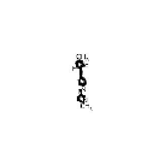 Cc1cc(F)c(C#Cc2ccc(N=Nc3ccc(C)nc3)cc2)c(F)c1